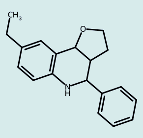 CCc1ccc2c(c1)C1OCCC1C(c1ccccc1)N2